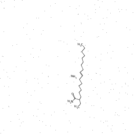 CCCCCCCCC=CCCCCCCC(CC)C(N)=O.N